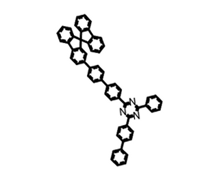 c1ccc(-c2ccc(-c3nc(-c4ccccc4)nc(-c4ccc(-c5ccc(-c6ccc7c(c6)C6(c8ccccc8-c8ccccc86)c6ccccc6-7)cc5)cc4)n3)cc2)cc1